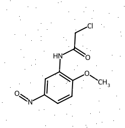 COc1ccc(N=O)cc1NC(=O)CCl